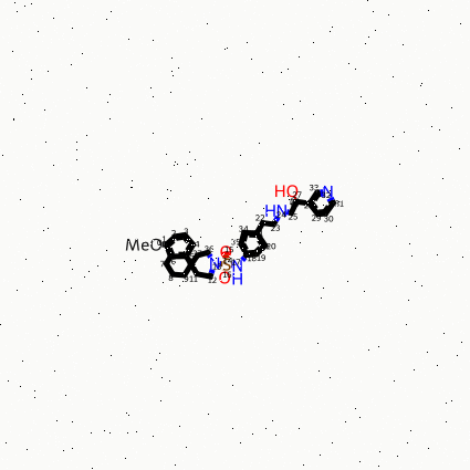 COc1cccc2c1CCCC21CCN(S(=O)(=O)Nc2ccc(CCNC[C@H](O)c3cccnc3)cc2)CC1